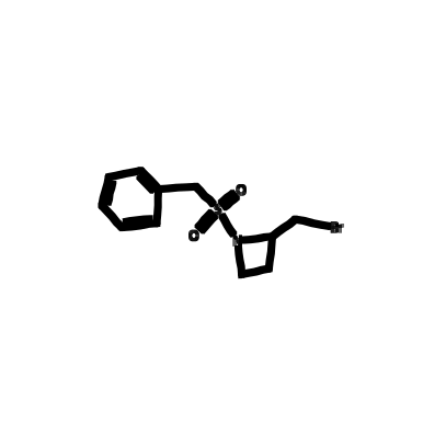 O=S(=O)(Cc1ccccc1)N1CCC1CBr